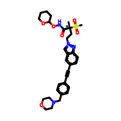 C[C@@](CCn1cc2cc(C#Cc3ccc(CN4CCOCC4)cc3)ccc2n1)(C(=O)NOC1CCCCO1)S(C)(=O)=O